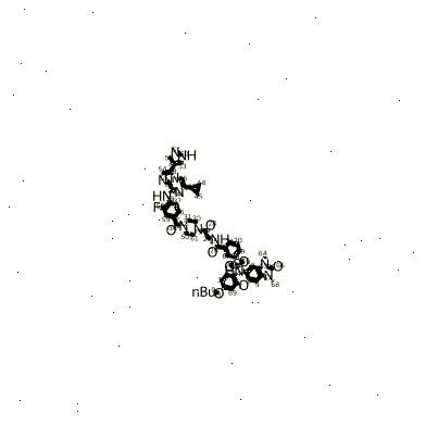 CCCCOc1cccc(Oc2cc3c(cc2NS(=O)(=O)c2cccc(C(=O)NCC(=O)N4CCN(C(=O)c5ccc(Nc6nc(C7CC7)cn7c(-c8cn[nH]c8)cnc67)c(F)c5)CC4)c2)n(C)c(=O)n3C)c1